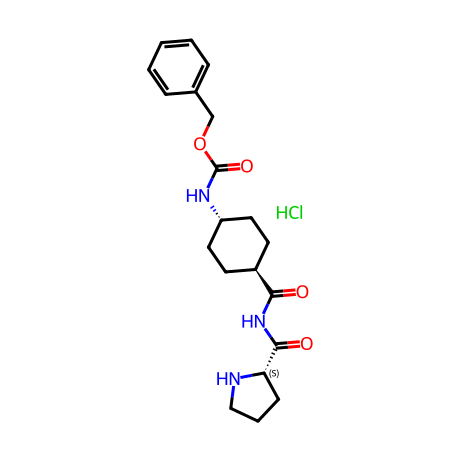 Cl.O=C(N[C@H]1CC[C@H](C(=O)NC(=O)[C@@H]2CCCN2)CC1)OCc1ccccc1